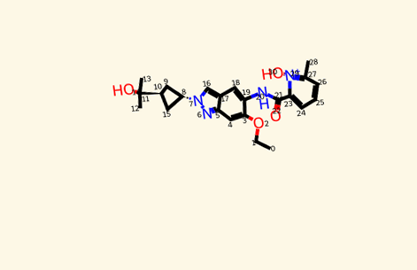 CCOc1cc2nn([C@H]3C[C@H](C(C)(C)O)C3)cc2cc1NC(=O)c1cccc(C)[n+]1O